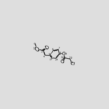 COC(=O)Cc1ccc(OC(=O)CCl)cc1